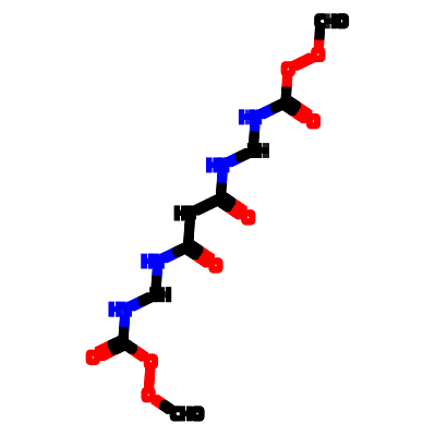 O=COOC(=O)NBNC(=O)BC(=O)NBNC(=O)OOC=O